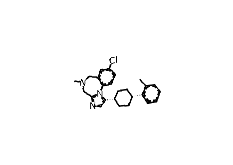 Cc1ccccc1[C@H]1CC[C@@H](c2cnc3n2-c2ccc(Cl)cc2CN(C)C3)CC1